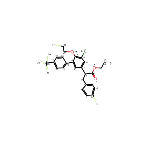 CCOC(=O)C(Cc1ccc(F)cc1)c1cc(Cl)c(OCCF)c(-c2ccc(C(F)(F)F)cc2)c1